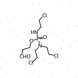 O=CCCOP(=O)(NCCCl)N(CCCl)CCCl